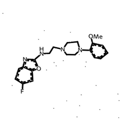 COc1ccccc1N1CCN(CCNc2nc3ccc(F)cc3o2)CC1